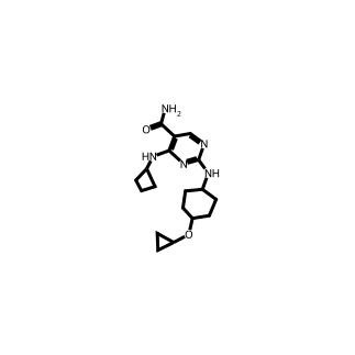 NC(=O)c1cnc(NC2CCC(OC3CC3)CC2)nc1NC1CCC1